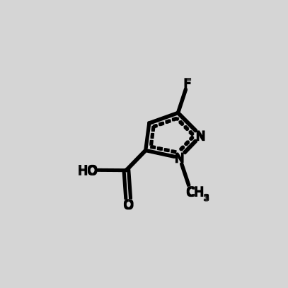 Cn1nc(F)cc1C(=O)O